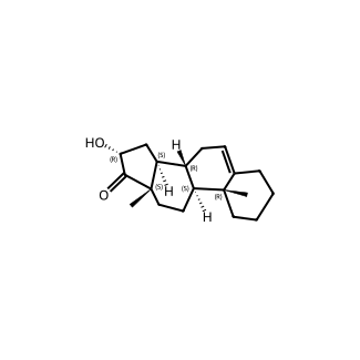 C[C@]12CCCCC1=CC[C@@H]1[C@@H]2CC[C@]2(C)C(=O)[C@H](O)C[C@@H]12